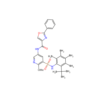 Bc1c(B)c(B)c(C(B)(B)B)c(NS(=O)(=O)c2cc(NC(=O)c3coc(-c4ccccc4)n3)cnc2OC)c1B